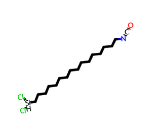 O=C=NCCCCCCCCCCCCCCCC[SiH](Cl)Cl